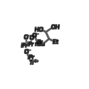 CC(C)[O-].CC(C)[O-].CC(C)[O-].CC(C)[O-].CCCCC(CC)C(O)O.[Ti+4]